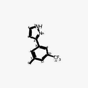 Cc1cc(-c2cc[nH]n2)cc(C(F)(F)F)c1